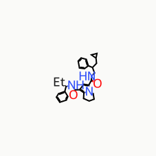 CC[C@@H](NC(=O)c1cc(C(=O)NCC(CC2CC2)c2ccccc2)n2c1CCCC2)c1ccccc1